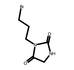 O=C1CNC(=O)N1CCCBr